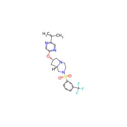 C=C(C)c1cnc(O[C@@H]2C[C@H]3CN(S(=O)(=O)c4cccc(C(F)(F)F)c4)CCN3C2)cn1